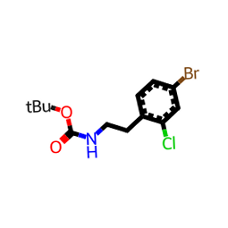 CC(C)(C)OC(=O)NCCc1ccc(Br)cc1Cl